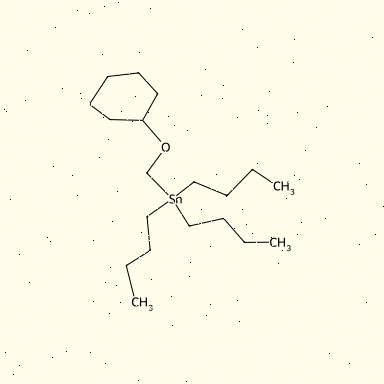 CCC[CH2][Sn]([CH2]CCC)([CH2]CCC)[CH2]OC1CCCCC1